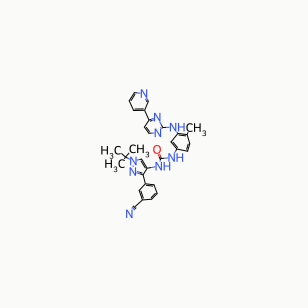 Cc1ccc(NC(=O)Nc2cn(C(C)(C)C)nc2-c2cccc(C#N)c2)cc1Nc1nccc(-c2cccnc2)n1